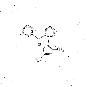 CC1=CC(C)=C(c2ccccc2C(O)c2ccccc2)C1